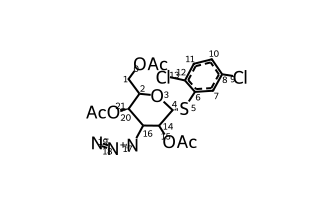 CC(=O)OCC1O[C@H](Sc2cc(Cl)ccc2Cl)C(OC(C)=O)C(N=[N+]=[N-])[C@H]1OC(C)=O